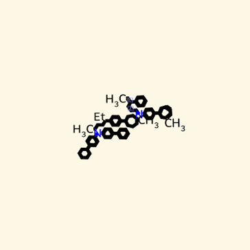 C/C=C(\C=C/CN(C1=CCC(C2=CC#CC=C(C)C2)C=C1)C1(C)CCCC(c2ccc(C(CC)CCC(C)N(c3ccc(-c4ccccc4)cc3)c3ccc(C4CCCCC4)cc3)cc2)CC1)c1ccccc1